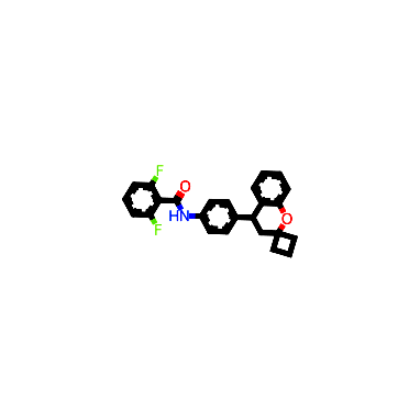 O=C(Nc1ccc(C2CC3(CCC3)Oc3ccccc32)cc1)c1c(F)cccc1F